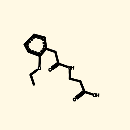 CCOc1ccccc1CC(=O)NCCC(=O)O